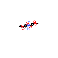 CCCOC(=O)c1ccc(C(=O)NNC(=O)c2ccc(C(=O)OCC(C)C)cc2)cc1